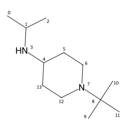 CC(C)NC1CCN(C(C)(C)C)CC1